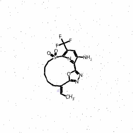 C/C=C1/CCCCCS(=O)(=O)c2nc(c(N)cc2C(F)(F)F)-c2nnc1o2